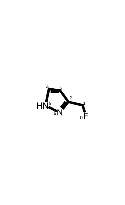 FCc1c[c][nH]n1